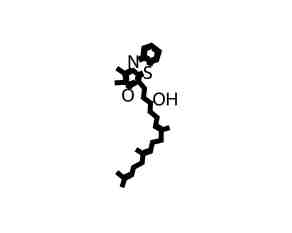 CC(C)=CCC/C(C)=C/CC/C(C)=C/CC[C@@H](O)CCc1c2sc3ccccc3nc-2c(C)c(C)c1=O